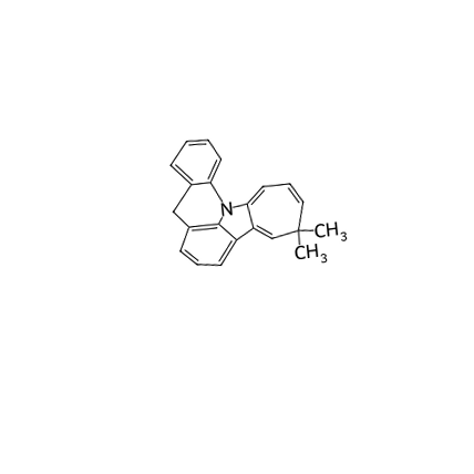 CC1(C)C=CC=c2c(c3cccc4c3n2-c2ccccc2C4)=C1